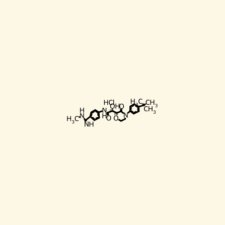 CNC(=N)c1ccc(NC(=O)[C@H](O)[C@H]2OCCN(c3ccc(C(C)(C)C)cc3)C2=O)cc1.Cl